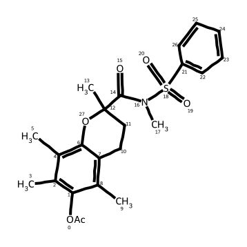 CC(=O)Oc1c(C)c(C)c2c(c1C)CCC(C)(C(=O)N(C)S(=O)(=O)c1ccccc1)O2